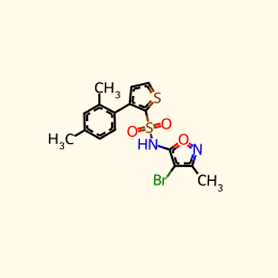 Cc1ccc(-c2ccsc2S(=O)(=O)Nc2onc(C)c2Br)c(C)c1